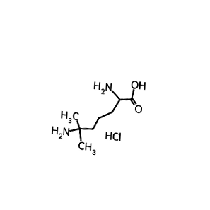 CC(C)(N)CCCC(N)C(=O)O.Cl